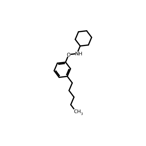 CCCCCc1cccc(ONC2CCCCC2)c1